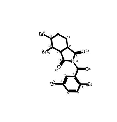 O=C(c1cc(Br)ccc1Br)N1C(=O)C2CCC(Br)C(Br)C2C1=O